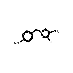 COc1ccc(Cn2cc(N)c(N)n2)cc1